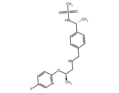 C[C@H](CNCc1ccc([C@@H](C)NS(C)(=O)=O)cc1)Oc1ccc(F)cn1